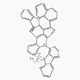 CC1(C)c2ccccc2-c2cccc(N(c3ccc(-c4cccc5ccccc45)cc3)c3ccccc3-c3ccc4oc5ccccc5c4c3)c21